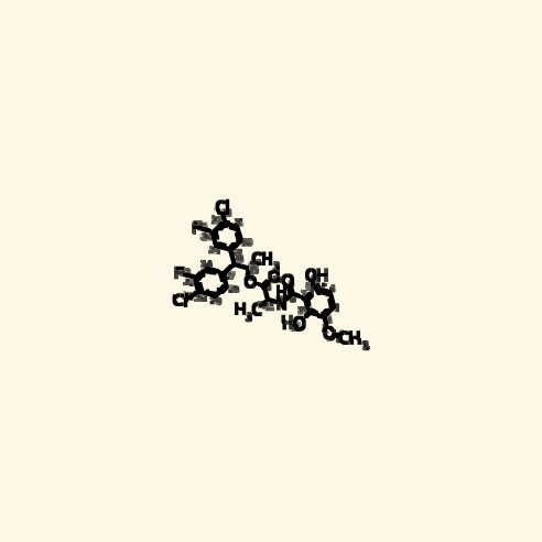 COc1cc[n+](O)c(C(=O)N[C@@H](C)C(=O)O[C@@H](C)C(c2ccc(Cl)c(F)c2)c2ccc(Cl)c(F)c2)c1O